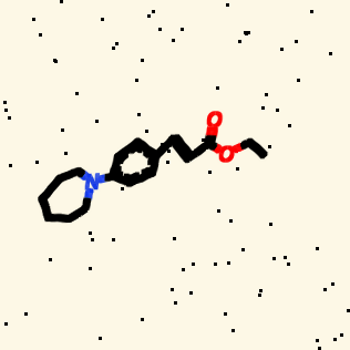 CCOC(=O)C=Cc1ccc(N2CCCCCC2)cc1